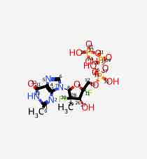 Cc1nc2c(ncn2[C@@H]2O[C@](F)(COP(=O)(O)OP(=O)(O)OP(=O)(O)O)[C@@H](O)[C@@]2(C)F)c(=O)[nH]1